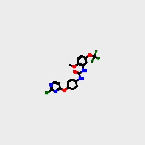 COc1ccc(OC(F)(F)F)cc1NC(=O)N[C@H]1CC[C@H](Oc2ccnc(Cl)n2)CC1